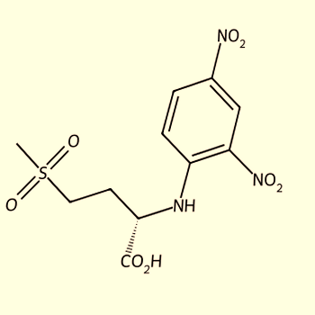 CS(=O)(=O)CC[C@H](Nc1ccc([N+](=O)[O-])cc1[N+](=O)[O-])C(=O)O